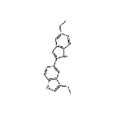 CCc1cnc2[nH]c(-c3ccc4[nH]cc(CC)c4c3)cc2c1